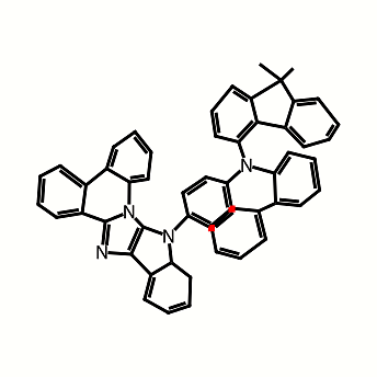 CC1(C)c2ccccc2-c2c(N(c3ccc(N4c5c(nc6c7ccccc7c7ccccc7n56)C5=CC=CCC54)cc3)c3ccccc3-c3ccccc3)cccc21